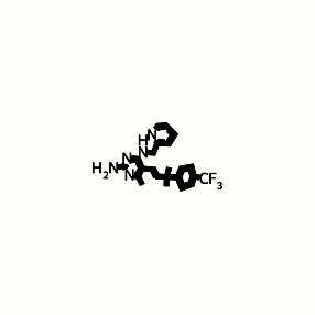 Cc1nc(N)nc(NCc2ccccn2)c1C=CC(C)(C)c1ccc(C(F)(F)F)cc1